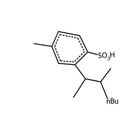 CCCCC(C)C(C)c1cc(C)ccc1S(=O)(=O)O